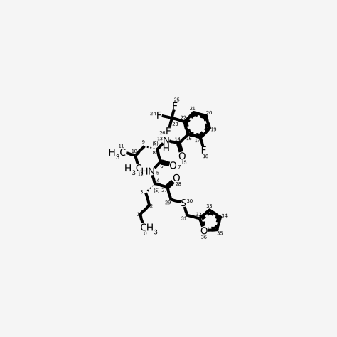 CCCC[C@H](NC(=O)[C@H](CC(C)C)NC(=O)c1c(F)cccc1C(F)(F)F)C(=O)CSCc1ccco1